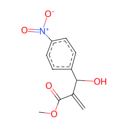 C=C(C(=O)OC)C(O)c1ccc([N+](=O)[O-])cc1